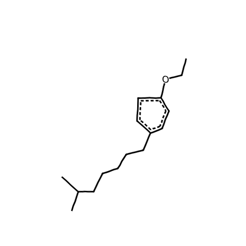 CCOc1ccc(CCCCCC(C)C)cc1